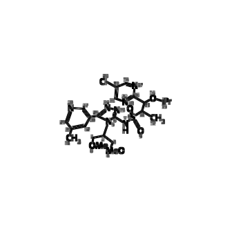 COCC(COC)n1c(NS(=O)(=O)C(C)C(OC(C)C)c2ncc(Cl)cn2)nnc1-c1cncc(C)c1